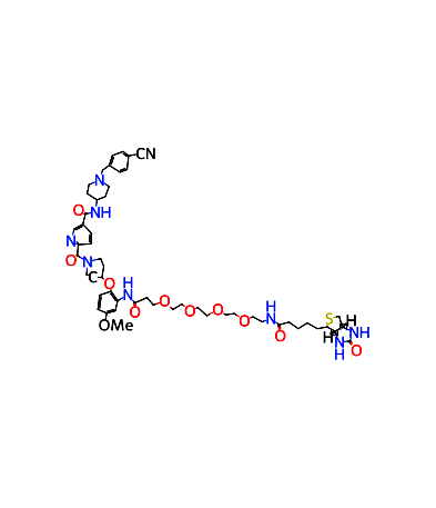 COc1ccc(OC2CCN(C(=O)c3ccc(C(=O)NC4CCN(Cc5ccc(C#N)cc5)CC4)cn3)CC2)c(NC(=O)CCOCCOCCOCCOCCNC(=O)CCCCC2SC[C@@H]3NC(=O)N[C@H]23)c1